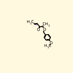 C/C=C/C(=O)[C@H](C)OCc1ccc(OC)cc1